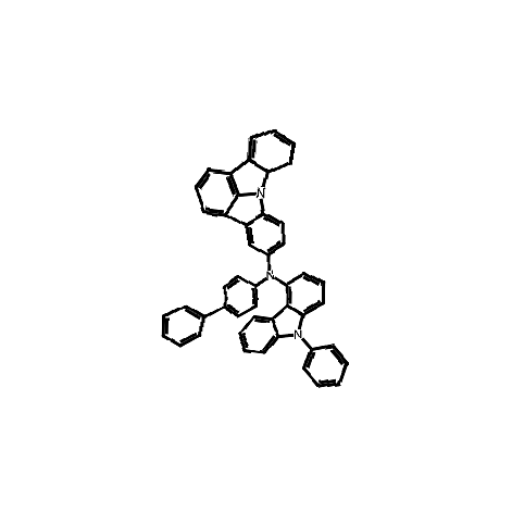 C1=CCC2C(=C1)c1cccc3c4cc(N(c5ccc(-c6ccccc6)cc5)c5cccc6c5c5ccccc5n6-c5ccccc5)ccc4n2c13